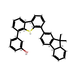 CC1(C)c2cc(-c3cccc4c3sc3c(-c5cccc(Br)c5)cccc34)ccc2C2C=CC=CC21